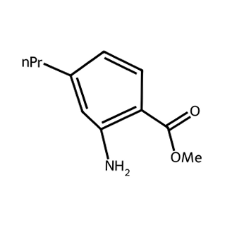 CCCc1ccc(C(=O)OC)c(N)c1